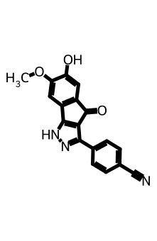 COc1cc2c(cc1O)C(=O)c1c(-c3ccc(C#N)cc3)n[nH]c1-2